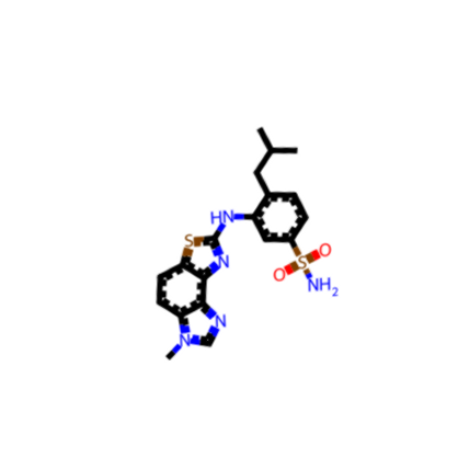 CC(C)Cc1ccc(S(N)(=O)=O)cc1Nc1nc2c(ccc3c2ncn3C)s1